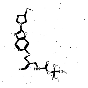 CC1CCN(c2nc3ccc(OC/C(=C\F)CNC(=O)OC(C)(C)C)cc3o2)C1